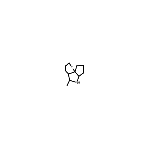 CC1NC2CCCC23CCCCC13